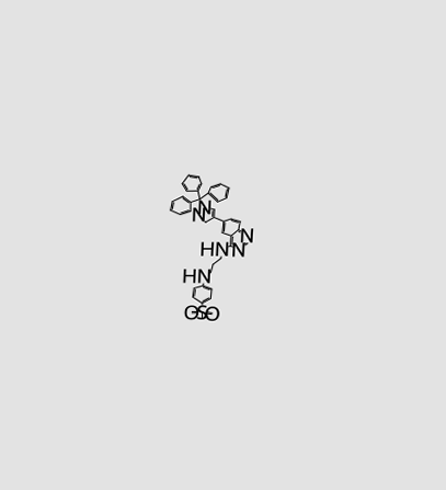 CS(=O)(=O)c1ccc(NCCCNc2ncnc3ccc(-c4cnn(C(c5ccccc5)(c5ccccc5)c5ccccc5)c4)cc23)cc1